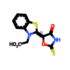 O=C(O)CN1/C(=C2\OC(=S)NC2=O)Sc2ccccc21